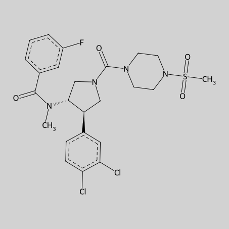 CN(C(=O)c1cccc(F)c1)[C@@H]1CN(C(=O)N2CCN(S(C)(=O)=O)CC2)C[C@H]1c1ccc(Cl)c(Cl)c1